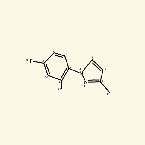 Cc1ccn(-c2ccc(F)cc2C)n1